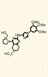 COc1cc(-n2cnc(Nc3nc4c(c(N5CCC[C@H]5CO)n3)CN(C(=O)O)CC4)c2)cc(OC)c1OC